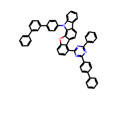 c1ccc(-c2ccc(-c3nc(-c4ccccc4)nc(-c4cccc5oc6c(ccc7c8ccccc8n(-c8ccc(-c9cccc(-c%10ccccc%10)c9)cc8)c76)c45)n3)cc2)cc1